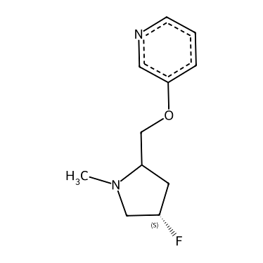 CN1C[C@@H](F)CC1COc1cccnc1